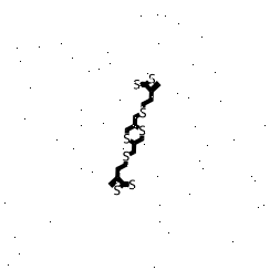 S=C1SC=C1CCSCC1CSC(CSCCC2=CSC2=S)CS1